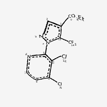 CCOC(=O)c1cnn(-c2nccc(Cl)c2Cl)c1C(F)(F)F